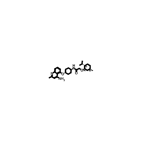 Cc1cc(N)c2c(O[C@H]3CC[C@H](NC(=O)CO[C@@H]4C[C@H](C)CC[C@H]4C(C)C)CC3)cccc2n1